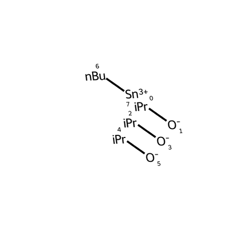 CC(C)[O-].CC(C)[O-].CC(C)[O-].CCC[CH2][Sn+3]